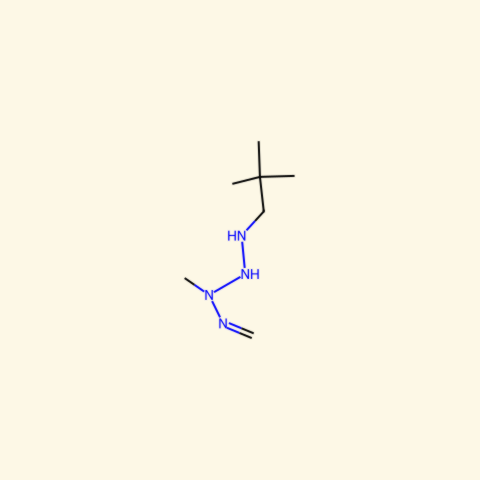 C=NN(C)NNCC(C)(C)C